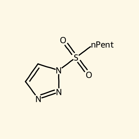 CCCCCS(=O)(=O)n1ccnn1